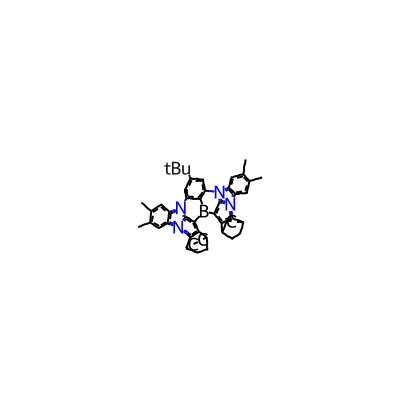 Cc1cc2c(cc1C)n1c3c(c4c1n2-c1cc(C(C)(C)C)cc2c1B4c1c4c(n5c6cc(C)c(C)cc6n-2c15)C1CCC4CC1)C1CCC3CC1